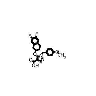 COc1ccc(Cn2nnc(C(=O)O)c2OC2CCc3cc(F)c(F)cc3C2)cc1